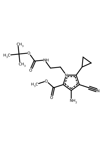 COC(=O)c1c(N)c(C#N)c(C2CC2)n1CCNC(=O)OC(C)(C)C